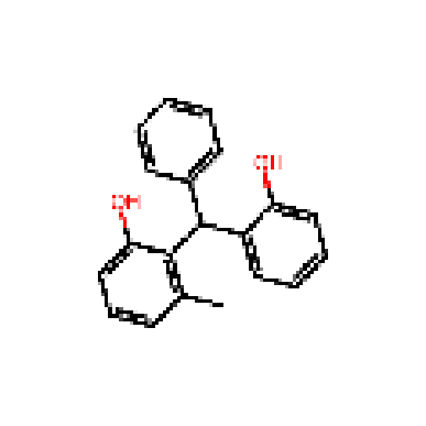 Cc1cccc(O)c1C(c1ccccc1)c1ccccc1O